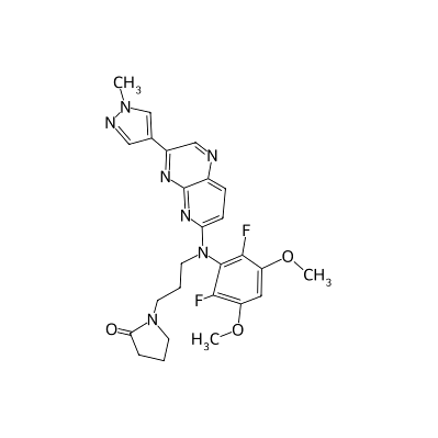 COc1cc(OC)c(F)c(N(CCCN2CCCC2=O)c2ccc3ncc(-c4cnn(C)c4)nc3n2)c1F